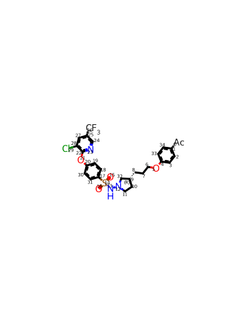 CC(=O)c1ccc(OCCC[C@@H]2CCN(NS(=O)(=O)c3ccc(Oc4ncc(C(F)(F)F)cc4Cl)cc3)C2)cc1